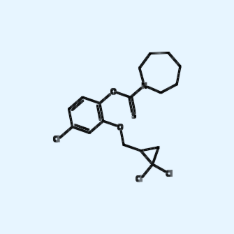 S=C(Oc1ccc(Cl)cc1OCC1CC1(Cl)Cl)N1CCCCCC1